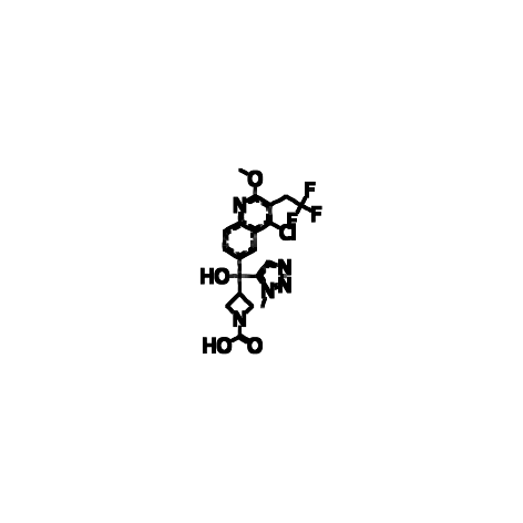 COc1nc2ccc(C(O)(c3cnnn3C)C3CN(C(=O)O)C3)cc2c(Cl)c1CC(F)(F)F